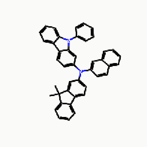 CC1(C)c2ccccc2-c2ccc(N(c3ccc4ccccc4c3)c3ccc4c5ccccc5n(-c5ccccc5)c4c3)cc21